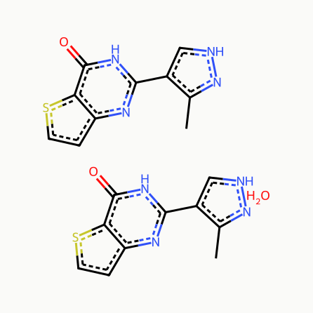 Cc1n[nH]cc1-c1nc2ccsc2c(=O)[nH]1.Cc1n[nH]cc1-c1nc2ccsc2c(=O)[nH]1.O